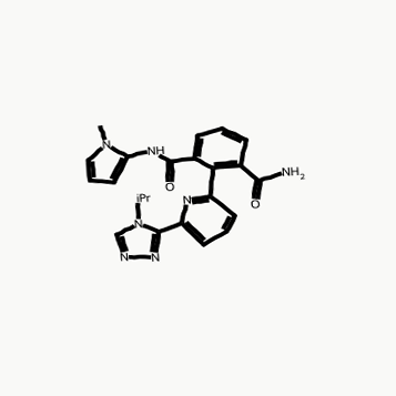 CC(C)n1cnnc1-c1cccc(-c2c(C(N)=O)cccc2C(=O)Nc2cccn2C)n1